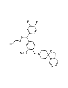 COc1cc(/C(=N\OCC#N)c2ccc(F)c(F)c2)ccc1CN1CCC2(CC1)OCc1ccncc12